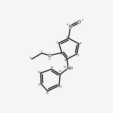 CCOc1cc(N=O)ccc1Nc1ccccc1